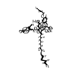 CC#CCOc1ccc(C[C@H](NC(=O)[C@@H](/C=C/CCCCCCC(=O)CCCCCCC)C(O)(CC(=O)O)C(=O)OCc2oc(=O)oc2C)C(=O)OC)cc1